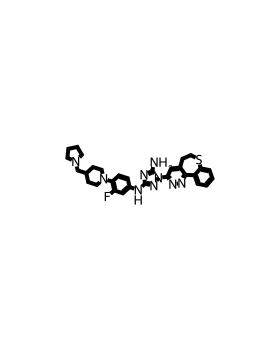 Nc1nc(Nc2ccc(N3CCC(CN4CCCC4)CC3)c(F)c2)nn1-c1cc2c(nn1)-c1ccccc1SCC2